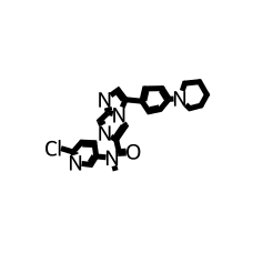 CN(C(=O)c1cn2c(-c3ccc(N4CCCCC4)cc3)cnc2cn1)c1ccc(Cl)nc1